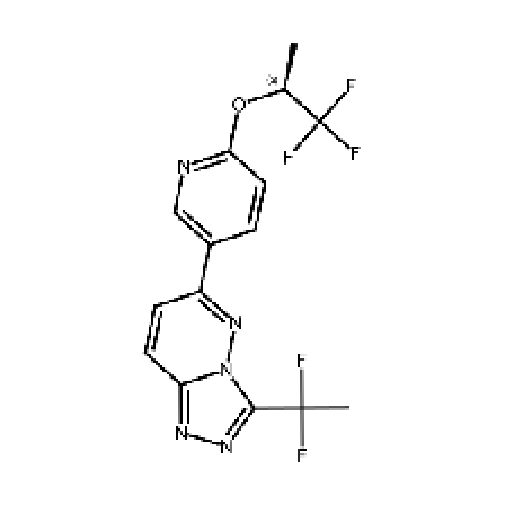 C[C@H](Oc1ccc(-c2ccc3nnc(C(C)(F)F)n3n2)cn1)C(F)(F)F